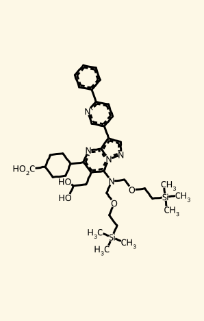 C[Si](C)(C)CCOCN(COCC[Si](C)(C)C)c1c(CC(O)O)c(C2CCC(C(=O)O)CC2)nc2c(-c3ccc(-c4ccccc4)nc3)cnn12